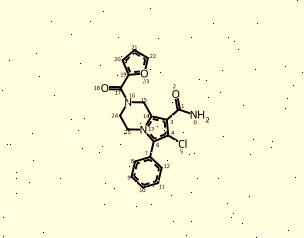 NC(=O)c1c(Cl)c(-c2ccccc2)n2c1CN(C(=O)c1ccco1)CC2